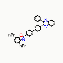 CCCc1ccc(CCC)c2oc(-c3ccc(-c4ccc(-c5nc6ccccc6nc5-c5ccccc5)cc4)cc3)nc12